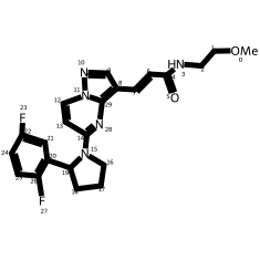 COCCNC(=O)C=Cc1cnn2ccc(N3CCCC3c3cc(F)ccc3F)nc12